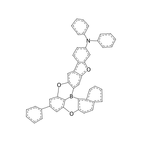 c1ccc(-c2cc3c4c(c2)Oc2ccc5ccccc5c2B4c2cc4oc5cc(N(c6ccccc6)c6ccccc6)ccc5c4cc2O3)cc1